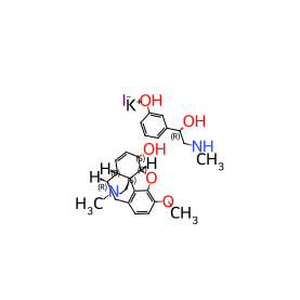 CNC[C@H](O)c1cccc(O)c1.COc1ccc2c3c1O[C@H]1[C@@H](O)C=C[C@H]4[C@@H](C2)N(C)CC[C@@]341.[I-].[K+]